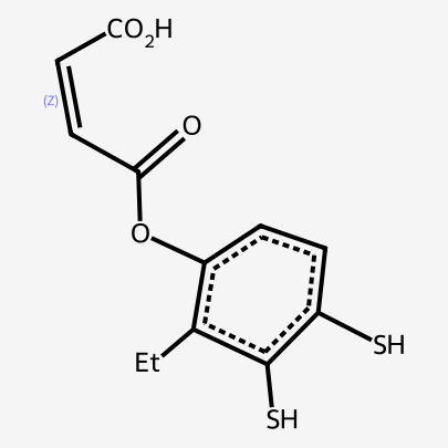 CCc1c(OC(=O)/C=C\C(=O)O)ccc(S)c1S